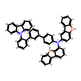 c1cc(-c2ccc(N(c3ccc4oc5ccccc5c4c3)c3cccc4c3sc3ccccc34)cc2)cc(-c2ccccc2-n2c3ccccc3c3ccccc32)c1